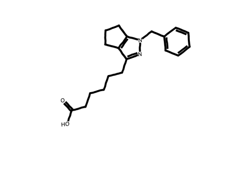 O=C(O)CCCCCc1nn(Cc2ccccc2)c2c1CCC2